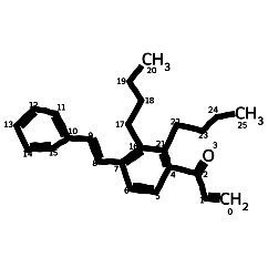 C=CC(=O)c1ccc(C=Cc2ccccc2)c(CCCC)c1CCCC